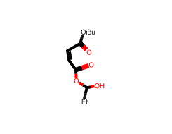 CCC(O)OC(=O)/C=C\C(=O)OCC(C)C